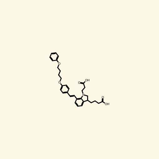 O=C(O)CCCC1CN(CCC(=O)O)c2c(C=Cc3ccc(OCCCCOc4ccccc4)cc3)cccc21